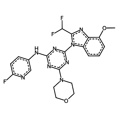 COc1cccc2c1nc(C(F)F)n2-c1nc(Nc2ccc(F)nc2)nc(N2CCOCC2)n1